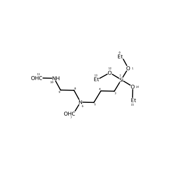 CCO[Si](CCCN(C=O)CCNC=O)(OCC)OCC